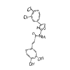 O=C(C=Cc1ccc(O)c(O)c1)Nc1nc(-c2ccc(Cl)c(Cl)c2)cs1